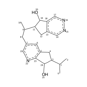 CC(C)C1Cc2cc(CC(C)C3Cc4cnncc4C3O)cnc2C1O